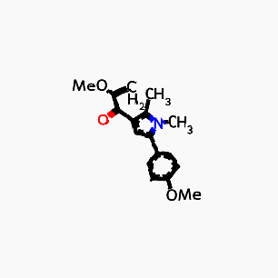 C=C(OC)C(=O)c1cc(-c2ccc(OC)cc2)n(C)c1C